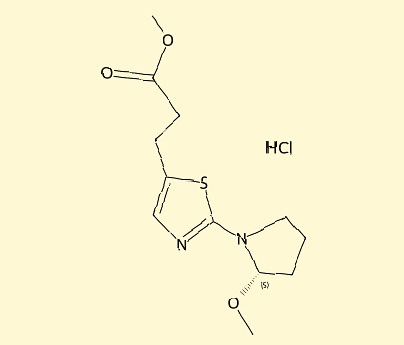 COC(=O)CCc1cnc(N2CCC[C@@H]2OC)s1.Cl